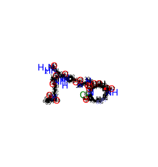 COc1cc2cc(c1Cl)N(C)C(=O)C[C@H](OC(=O)CN(C)C(=O)CCN(C)C(=O)OCc1ccc(NC(=O)[C@H](CCCNC(N)=O)NC(=O)[C@@H](NC(=O)CCCCCN3C(=O)CC(C(C)(C)C)C3=O)C(C)C)cc1)[C@]1(C)O[C@H]1[C@H](C)[C@@H]1CC(C/C=C/C=C(\C)C2)NC(=O)O1